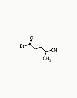 [CH2]CC(=O)CCC(C)C#N